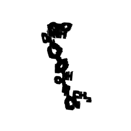 Cc1ncccc1N1CC(C(=O)Nc2ccc(C3CCN(C(=O)[C@@H]4CCC(=O)N4)CC3)cc2)C1